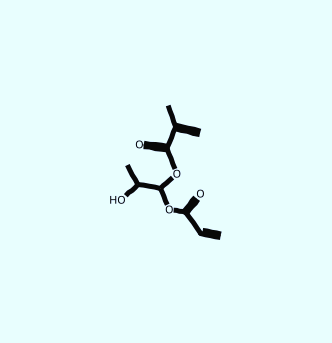 C=CC(=O)OC(OC(=O)C(=C)C)C(C)O